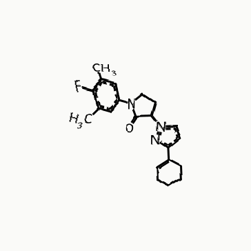 Cc1cc(N2CCC(n3ccc(C4=CCCCC4)n3)C2=O)cc(C)c1F